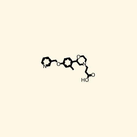 Cc1cc(OCc2cccnc2)ccc1C1CN(CCC(=O)O)CCO1